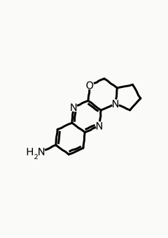 Nc1ccc2nc3c(nc2c1)OCC1CCCN31